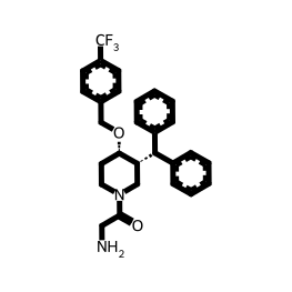 NCC(=O)N1CC[C@H](OCc2ccc(C(F)(F)F)cc2)[C@H](C(c2ccccc2)c2ccccc2)C1